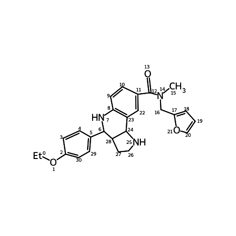 CCOc1ccc(C2Nc3ccc(C(=O)N(C)Cc4ccco4)cc3C3NCCC23)cc1